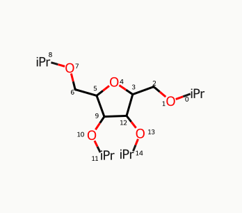 CC(C)OCC1OC(COC(C)C)C(OC(C)C)C1OC(C)C